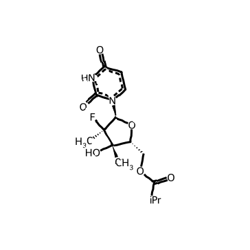 CC(C)C(=O)OC[C@H]1O[C@H](n2ccc(=O)[nH]c2=O)[C@](C)(F)[C@@]1(C)O